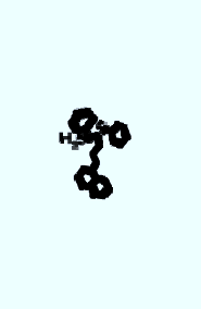 c1ccc([SiH2]C(CCCc2cccc3ccccc23)[SiH2]c2ccccc2)cc1